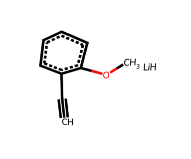 C#Cc1ccccc1OC.[LiH]